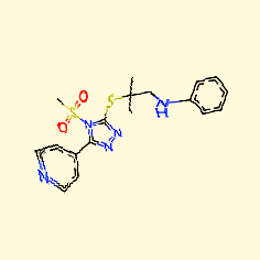 CC(C)(CNc1ccccc1)Sc1nnc(-c2ccncc2)n1S(C)(=O)=O